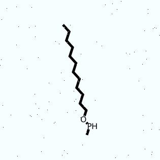 CCCCCCCCCCCCOPC